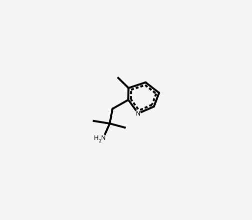 Cc1cccnc1CC(C)(C)N